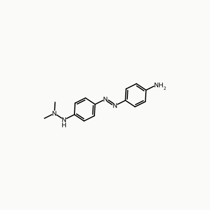 CN(C)Nc1ccc(N=Nc2ccc(N)cc2)cc1